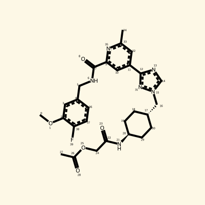 COc1cc(CNC(=O)c2cc(-c3ncn(C[C@H]4CC[C@H](NC(=O)COC(C)=O)CC4)n3)cc(C)n2)ccc1F